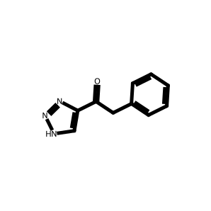 O=C(Cc1ccccc1)c1c[nH]nn1